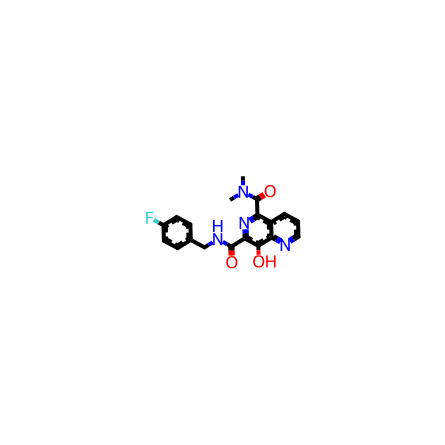 CN(C)C(=O)c1nc(C(=O)NCc2ccc(F)cc2)c(O)c2ncccc12